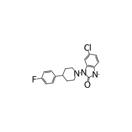 O=C1[N]c2ccc(Cl)cc2N1N1CCC(c2ccc(F)cc2)CC1